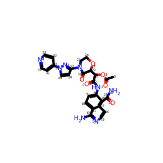 CC(=O)OC(C(=O)Nc1ccc2c(N)nccc2c1C(N)=O)C1OCCN(c2ccn(-c3ccncc3)n2)C1=O